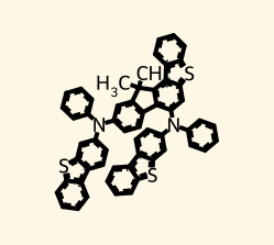 CC1(C)c2cc(N(c3ccccc3)c3ccc4c(c3)sc3ccccc34)ccc2-c2c(N(c3ccccc3)c3ccc4c(c3)sc3ccccc34)cc3sc4ccccc4c3c21